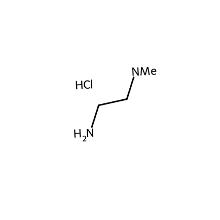 CNCCN.Cl